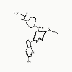 CNC(=O)c1cnc(-c2ccc3cc(C#N)cnn23)cc1N[C@H]1CC[C@H](NC(=O)C(F)(F)F)CC1